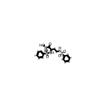 O=C(NO)C(CCNS(=O)(=O)c1ccccc1)NS(=O)(=O)c1ccccc1